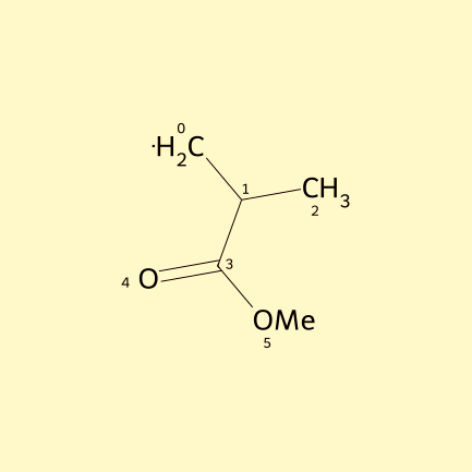 [CH2]C(C)C(=O)OC